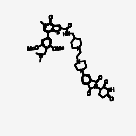 COc1cc(-c2cn(C)c(=O)c3cc(C(=O)NCC4CCN(CCN5CCN(c6ccc7c(c6)C(=O)N(C6CCC(=O)NC6=O)C7=O)CC5)CC4)sc23)cc(OC)c1CN(C)C